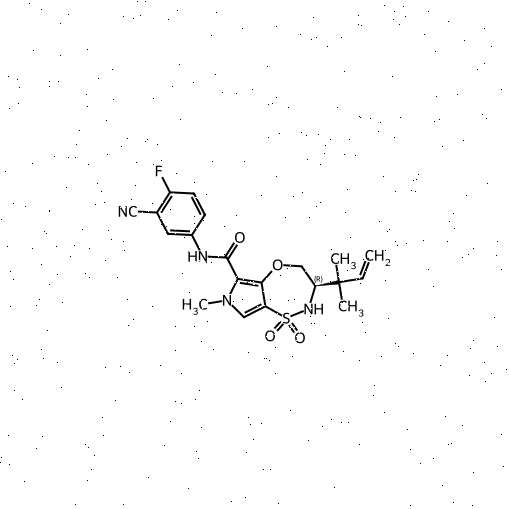 C=CC(C)(C)[C@@H]1COc2c(cn(C)c2C(=O)Nc2ccc(F)c(C#N)c2)S(=O)(=O)N1